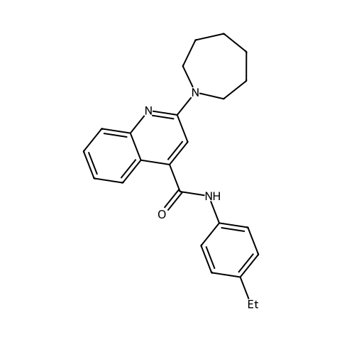 CCc1ccc(NC(=O)c2cc(N3CCCCCC3)nc3ccccc23)cc1